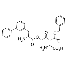 NC(Cc1cccc(-c2ccccc2)c1)C(=O)OCC(=O)C(C(=O)OCc1ccccc1)C(N)C(=O)O